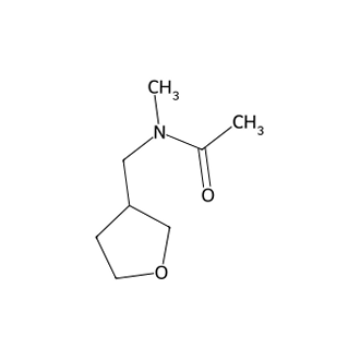 CC(=O)N(C)CC1CCOC1